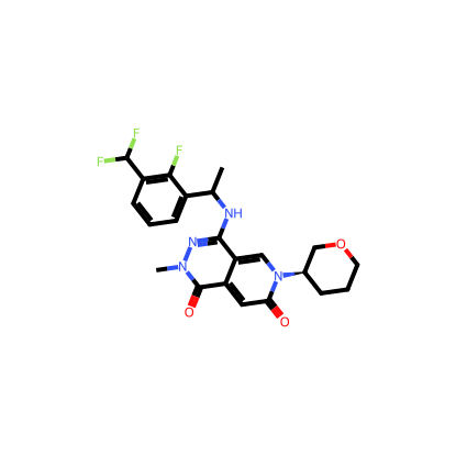 CC(Nc1nn(C)c(=O)c2cc(=O)n([C@@H]3CCCOC3)cc12)c1cccc(C(F)F)c1F